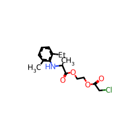 CCc1cccc(C)c1N[C@@H](C)C(=O)OCCOC(=O)CCl